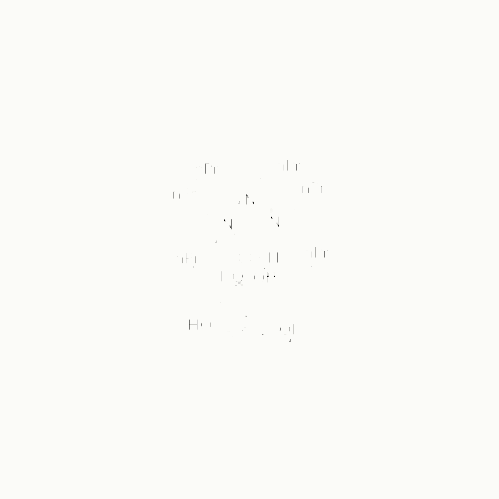 CCCC1C(CCC)N1C(CC(=O)O)(N1C(CCC)C1CCC)N1C(CCC)C1CCC.OCC(CO)(CO)CO